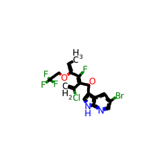 C=C(Cl)/C(C(=O)c1c[nH]c2ncc(Br)cc12)=C(F)\C(=C/C)OCC(F)(F)F